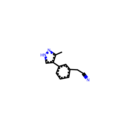 Cc1n[nH]cc1-c1c[c]cc(CC#N)c1